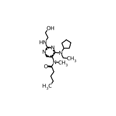 CCCCC(=O)N(C)c1cnc(NCCO)nc1N(CC)C1CCCC1